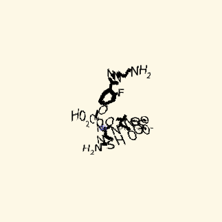 C[n+]1cc(-c2ccc(OC[C@H](O/N=C(\C(=O)N[C@@H]3C(=O)N(OS(=O)(=O)[O-])C3(C)C)c3csc(N)n3)C(=O)O)cc2F)cn1CCCN